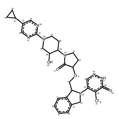 O=C1C(OCC2c3ccccc3CN2c2cn[nH]c(=O)c2C(F)(F)F)CCN1C1CCN(c2ncc(C3CC3)cn2)CC1O